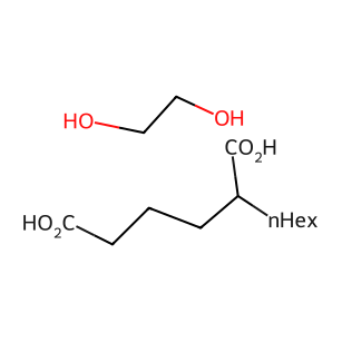 CCCCCCC(CCCC(=O)O)C(=O)O.OCCO